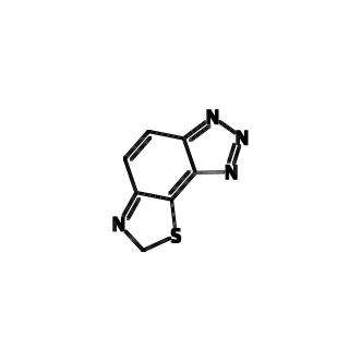 c1cc2c(c3c1=NN=N3)SCN=2